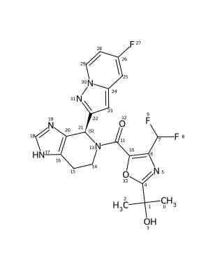 CC(C)(O)c1nc(C(F)F)c(C(=O)N2CCc3[nH]cnc3[C@H]2c2cc3cc(F)ccn3n2)o1